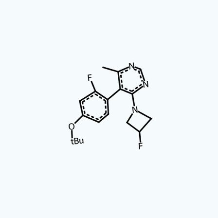 Cc1ncnc(N2CC(F)C2)c1-c1ccc(OC(C)(C)C)cc1F